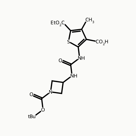 CCOC(=O)c1sc(NC(=O)NC2CN(C(=O)OC(C)(C)C)C2)c(C(=O)O)c1C